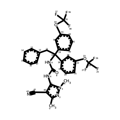 Cc1nn(C)c(NC(=O)NC(Cc2ccccc2)(c2cccc(OC(F)(F)F)c2)c2cccc(OC(F)(F)F)c2)c1C#N